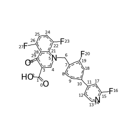 O=C(O)c1cn(Cc2ccc(-c3ccnc(F)c3)cc2F)c2c(F)ccc(F)c2c1=O